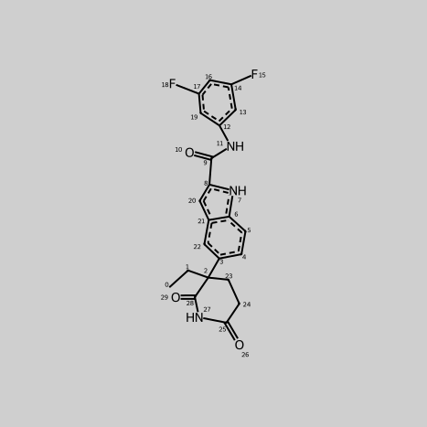 CCC1(c2ccc3[nH]c(C(=O)Nc4cc(F)cc(F)c4)cc3c2)CCC(=O)NC1=O